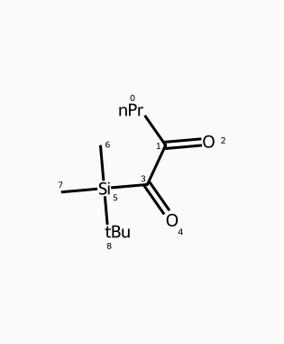 CCCC(=O)C(=O)[Si](C)(C)C(C)(C)C